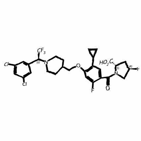 O=C(O)[C@@H]1C[C@@H](F)CN1C(=O)c1cc(C2CC2)c(OCC2CCN([C@@H](c3cc(Cl)cc(Cl)c3)C(F)(F)F)CC2)cc1F